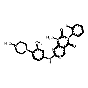 Cc1cc(Nc2ncc3c(=O)n(-c4ccccc4Cl)c(=O)n(C)c3n2)ccc1N1CCN(C)CC1